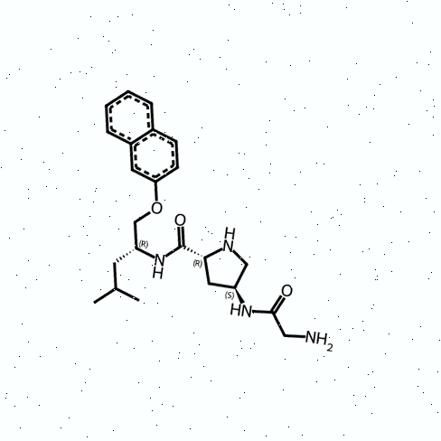 CC(C)C[C@H](COc1ccc2ccccc2c1)NC(=O)[C@H]1C[C@H](NC(=O)CN)CN1